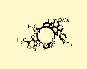 CCn1c(-c2cc(N3CCN(C)CC3)cnc2[C@H](C)OC)c2c3cc(ccc31)C1N=C(C[C@H](NC(=O)[C@H]3[C@H](C)[C@@H]3C)C(=O)N3CCC[C@H](N3)C(=O)OCC3(CC3)C2)SC1C